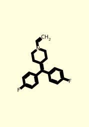 C=CN1CCC(=C(c2ccc(F)cc2)c2ccc(F)cc2)CC1